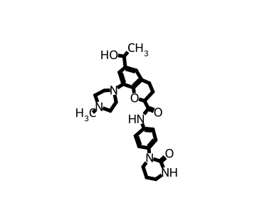 CC(O)c1cc2c(c(N3CCN(C)CC3)c1)OC(C(=O)Nc1ccc(N3CCCNC3=O)cc1)CC2